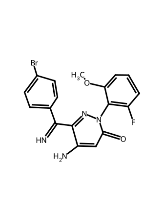 COc1cccc(F)c1-n1nc(C(=N)c2ccc(Br)cc2)c(N)cc1=O